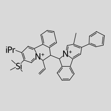 C=CC1C(C2c3ccccc3-c3cc(-c4ccccc4)c(C)c[n+]32)c2ccccc2-c2cc(C(C)C)c([Si](C)(C)C)c[n+]21